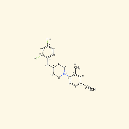 C#Cc1ccc(N2CCC(Cc3ccc(F)cc3F)CC2)c(C)c1